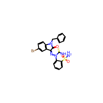 NC(=S)N(/N=C1\C(=O)N(Cc2ccccc2)c2ccc(Br)cc21)c1ccccc1S(N)(=O)=O